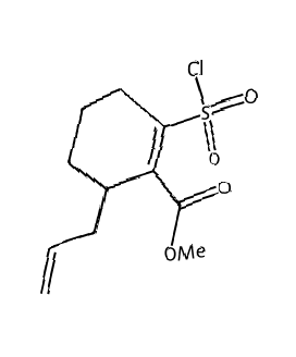 C=CCC1CCCC(S(=O)(=O)Cl)=C1C(=O)OC